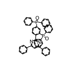 O=P(c1ccccc1)(c1ccccc1)c1ccc(-c2nc(-c3ccccc3)cc(-c3ccccc3)n2)c(P(=O)(c2ccccc2)c2ccccc2)c1